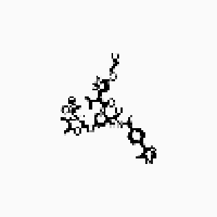 Cc1ncsc1-c1ccc([C@H](C)NC(=O)[C@@H]2C[C@@H](OC(=O)OC(C)C(C)SS(C)(=O)=O)CN2C(=O)[C@@H](c2cc(OCC=O)no2)C(C)C)cc1